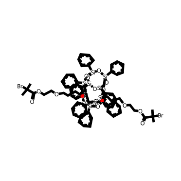 CC(C)(Br)C(=O)OCCOCCC[Si]1(C)O[Si]2(c3ccccc3)O[Si]3(c4ccccc4)O[Si]4(c5ccccc5)O[Si](C)(CCCOCCOC(=O)C(C)(C)Br)O[Si]5(c6ccccc6)O[Si](c6ccccc6)(O[Si](c6ccccc6)(O1)O[Si](c1ccccc1)(O5)O[Si](c1ccccc1)(O2)O4)O3